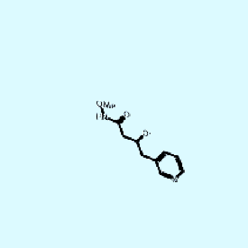 CONC(=O)CC([O])Cc1cccnc1